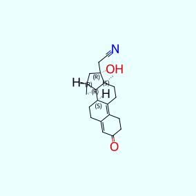 C[C@]12CCC3=C4CCC(=O)C=C4CC[C@H]3[C@]13C[C@@H]3C[C@@]2(O)CC#N